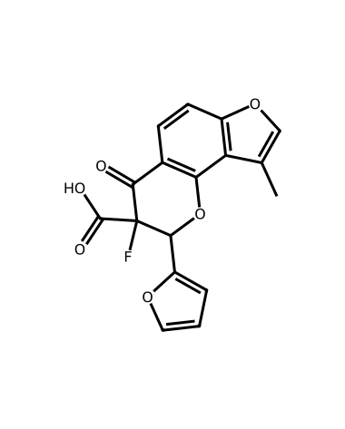 Cc1coc2ccc3c(c12)OC(c1ccco1)C(F)(C(=O)O)C3=O